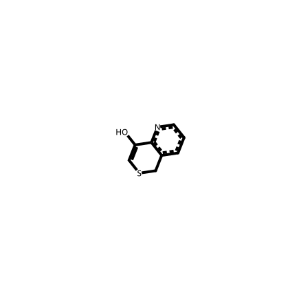 OC1=CSCc2cccnc21